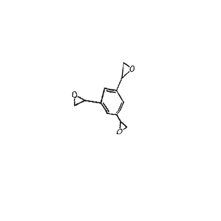 c1c(C2CO2)cc(C2CO2)cc1C1CO1